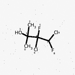 CC(C)(O)C(F)(Cl)C(F)Cl